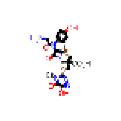 CCn1c(SCC2(C(=O)O)CS[C@@H]3C(N(C(=O)CN)c4ccc(O)cc4)C(=O)N3C2)nnc(O)c1=O